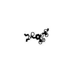 CCCN(CCC)C(=O)Cc1ccc(OCC(=O)OCC)c([N+](=O)[O-])c1